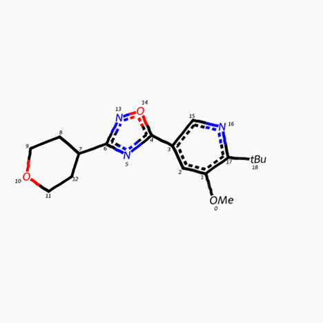 COc1cc(-c2nc(C3CCOCC3)no2)cnc1C(C)(C)C